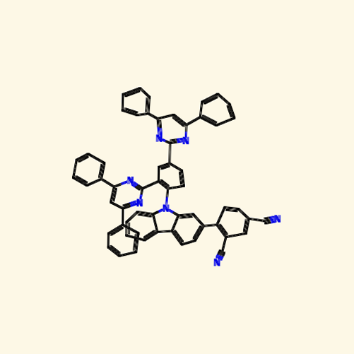 N#Cc1ccc(-c2ccc3c4ccccc4n(-c4ccc(-c5nc(-c6ccccc6)cc(-c6ccccc6)n5)cc4-c4nc(-c5ccccc5)cc(-c5ccccc5)n4)c3c2)c(C#N)c1